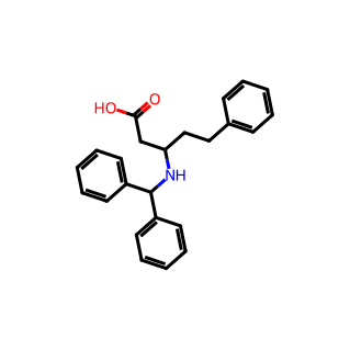 O=C(O)CC(CCc1ccccc1)NC(c1ccccc1)c1ccccc1